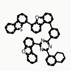 C1=Cc2cccc(-c3nc(-c4cccc(-c5cccc6oc7c(-c8cccc9c8sc8ccccc89)cccc7c56)c4)nc(-c4cccc5oc6ccccc6c45)n3)c2CC1